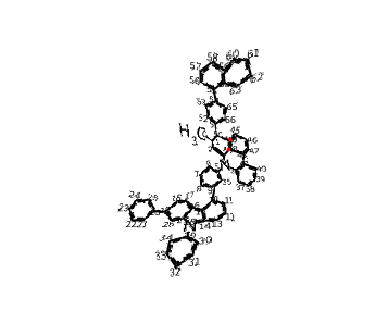 CC1C=C(N(c2cccc(-c3cccc4c3c3ccc(-c5ccccc5)cc3n4-c3ccccc3)c2)c2ccccc2-c2ccccc2)C=CC1c1ccc(-c2cccc3ccccc23)cc1